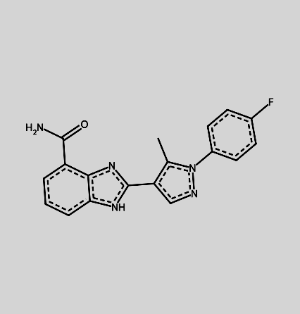 Cc1c(-c2nc3c(C(N)=O)cccc3[nH]2)cnn1-c1ccc(F)cc1